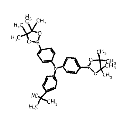 CC(C)(C#N)c1ccc(N(c2ccc(B3OC(C)(C)C(C)(C)O3)cc2)c2ccc(B3OC(C)(C)C(C)(C)O3)cc2)cc1